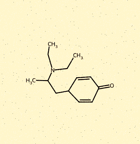 CCN(CC)C(C)CC1C=CC(=O)C=C1